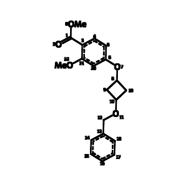 COC(=O)c1ccc(OC2CC(OCc3ccccc3)C2)cc1OC